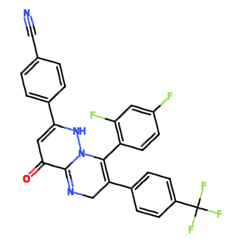 N#Cc1ccc(C2=CC(=O)C3=NCC(c4ccc(C(F)(F)F)cc4)=C(c4ccc(F)cc4F)N3N2)cc1